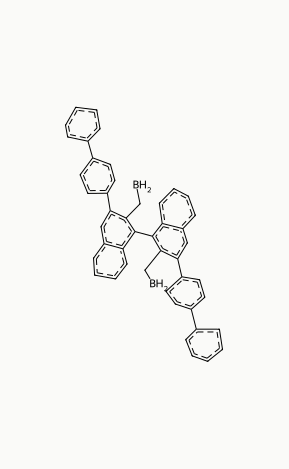 BCc1c(-c2ccc(-c3ccccc3)cc2)cc2ccccc2c1-c1c(CB)c(-c2ccc(-c3ccccc3)cc2)cc2ccccc12